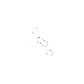 COc1cc(-c2ccccc2F)cc2c(NC3CC3)nc(-c3cccnc3)nc12